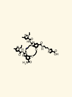 CCn1nc(C)cc1C(=O)Nc1nc2cc(C(N)=O)cc3c2n1C/C=C/Cn1c(NC(=O)c2cc(C)nn2CC)nc2cc(C(=O)NCCCn4cc(C(=O)O)cn4)cc(c21)OCCCO3